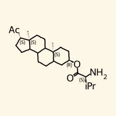 CC(=O)[C@H]1CCC2C3CCC4C[C@H](OC(=O)[C@@H](N)C(C)C)CC[C@]4(C)C3CC[C@@]21C